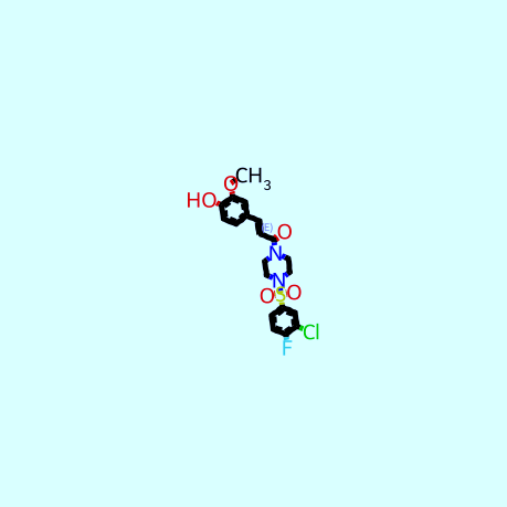 COc1cc(/C=C/C(=O)N2CCN(S(=O)(=O)c3ccc(F)c(Cl)c3)CC2)ccc1O